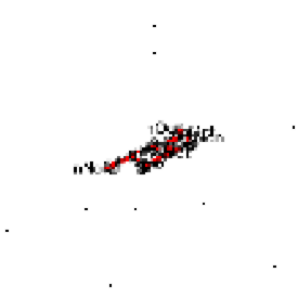 CCCCCCCCCOC(=O)CCCCCCCN(CCCCCCCC(=O)OC(CCCCCCCC)CCCCCCCC)CCCCC(=O)N(C)CCNC(=O)CCCCN(CCCCCCCC(=O)OCCCCCCCCC)CCCC(C)CCCC(=O)OC(CCCCCCCC)CCCCCCCC